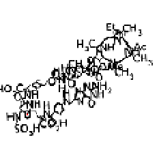 CC[C@@H]1c2cc3[nH]c4c(c3C)C(=O)C(C(=O)OC)c4c3nc(cc4[nH]c(cc(n2)[C@H]1C)c(C(C)=O)c4C)[C@H](C)[C@H]3CCC(=O)NCCC[C@@H](C(=O)NNC(=O)OCCSSC[C@H](NC(=O)[C@H](CC(=O)NCCS(=O)(=O)O)NC(=O)CC[C@H](NC(=O)c1ccc(NCc2cnc3nc(N)[nH]c(=O)c3n2)cc1)C(=O)O)C(=O)O)[N+](C)(C)C